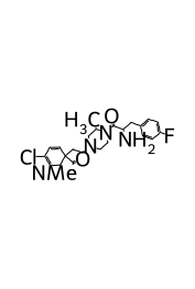 CNC(=O)C1(CCN2CCN(C(=O)C(N)Cc3ccc(F)cc3)C(C)C2)C=CC(Cl)=CC1